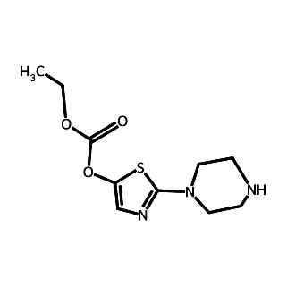 CCOC(=O)Oc1cnc(N2CCNCC2)s1